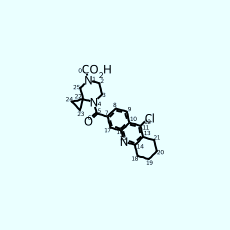 O=C(O)N1CCN(C(=O)c2ccc3c(Cl)c4c(nc3c2)CCCC4)C2(CC2)C1